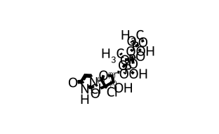 COP(=O)(O)OP(=O)(OC)OP(=O)(O)OC[C@H]1O[C@@H](n2ccc(=O)[nH]c2=O)C(Cl)(Cl)[C@@H]1O